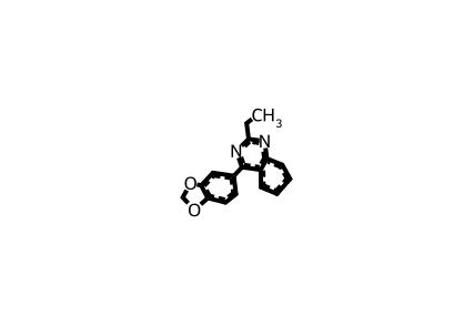 CCc1nc(-c2ccc3c(c2)OCO3)c2ccccc2n1